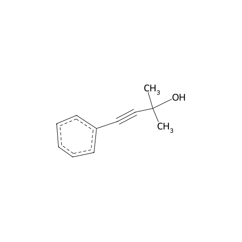 CC(C)(O)C#Cc1ccccc1